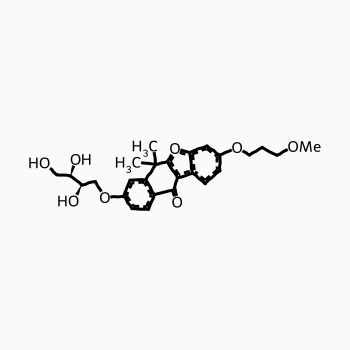 COCCCOc1ccc2c3c(oc2c1)C(C)(C)c1cc(OC[C@@H](O)[C@H](O)CO)ccc1C3=O